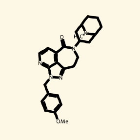 COc1ccc(Cn2nc3c4c(ccnc42)C(=O)N(C2CC4CCCC(C2)N4C)CC3)cc1